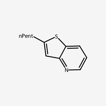 CCCCCc1cc2ncccc2s1